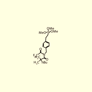 CCCCC(C)(C)C(=O)N(Cc1ccc(CC[Si](OC)(OC)OC)cc1)C(=O)C(F)(F)F